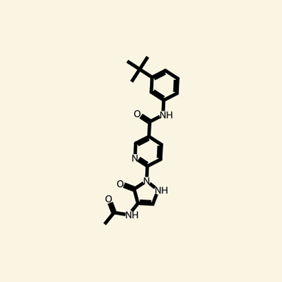 CC(=O)Nc1c[nH]n(-c2ccc(C(=O)Nc3cccc(C(C)(C)C)c3)cn2)c1=O